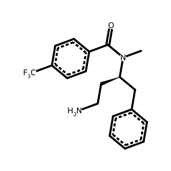 CN(C(=O)c1ccc(C(F)(F)F)cc1)[C@H](CCN)Cc1ccccc1